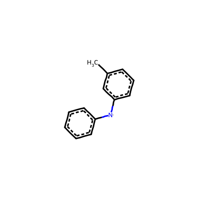 Cc1cccc([N]c2ccccc2)c1